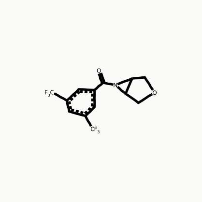 O=C(c1cc(C(F)(F)F)cc(C(F)(F)F)c1)N1C2COCC21